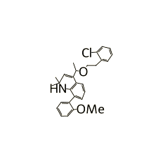 COc1ccccc1-c1cccc2c1NC(C)(C)C=C2C(C)OCCc1ccccc1Cl